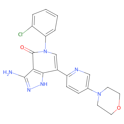 Nc1n[nH]c2c(-c3ccc(N4CCOCC4)cn3)cn(-c3ccccc3Cl)c(=O)c12